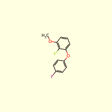 COc1cccc(Oc2ccc(I)cc2)c1F